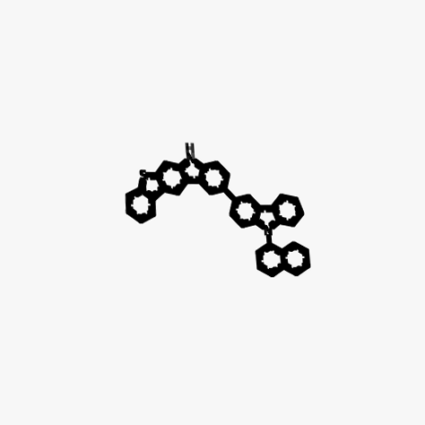 c1ccc2c(-n3c4ccccc4c4cc(-c5ccc6[nH]c7cc8sc9ccccc9c8cc7c6c5)ccc43)cccc2c1